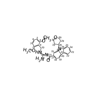 COc1cccc(OC)c1CN/C(N)=N/C(=O)c1ccc2c3ccccc3n(C3CCOCC3)c2c1